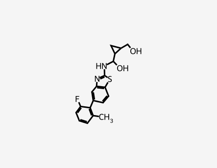 Cc1cccc(F)c1-c1ccc2sc(NC(O)C3CC3CO)nc2c1